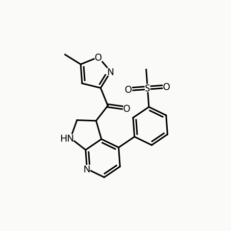 Cc1cc(C(=O)C2CNc3nccc(-c4cccc(S(C)(=O)=O)c4)c32)no1